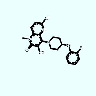 Cn1c(=O)c(C#N)c(N2CCC(Oc3ccccc3F)CC2)c2nc(Cl)ccc21